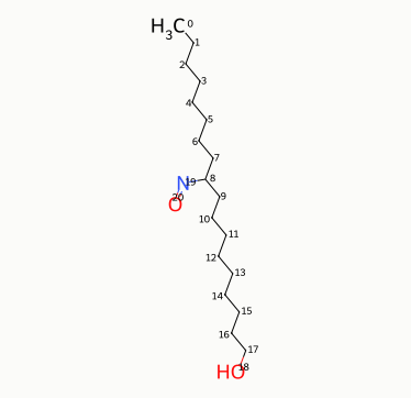 CCCCCCCCC(CCCCCCCCCO)N=O